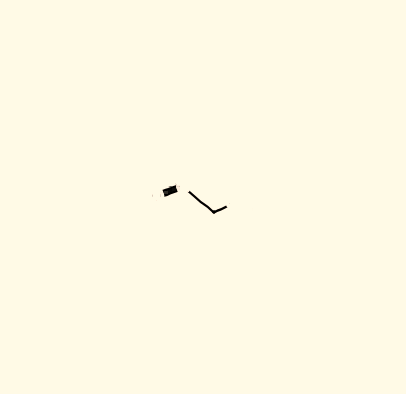 CC[13CH]=O